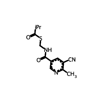 Cc1ncc(C(=O)NCSC(=O)C(C)C)cc1C#N